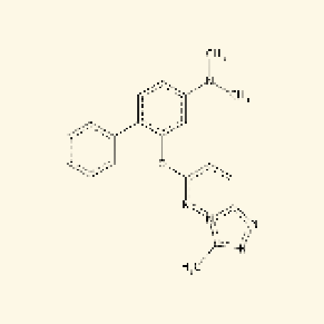 Cc1nnc2ccc(Oc3cc(N(C)C)ccc3-c3ccccc3)nn12